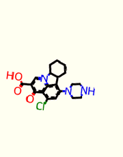 O=C(O)c1cn2c3c(c(N4CCNCC4)cc(Cl)c3c1=O)C1CCCCC12